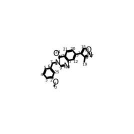 COc1cccc(Cn2cnc3cc(-c4conc4C)ccc3c2=O)c1